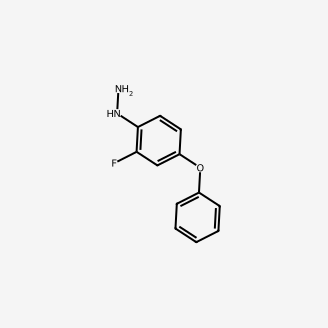 NNc1ccc(Oc2ccccc2)cc1F